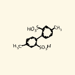 Cc1ccc(-c2ccc(C)cc2S(=O)(=O)O)c(S(=O)(=O)O)c1